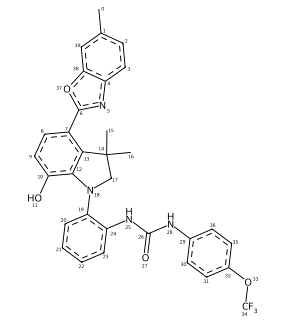 Cc1ccc2nc(-c3ccc(O)c4c3C(C)(C)CN4c3ccccc3NC(=O)Nc3ccc(OC(F)(F)F)cc3)oc2c1